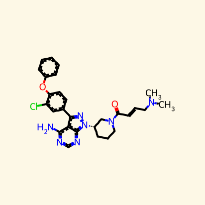 CN(C)C/C=C/C(=O)N1CCC[C@H](n2nc(-c3ccc(Oc4ccccc4)c(Cl)c3)c3c(N)ncnc32)C1